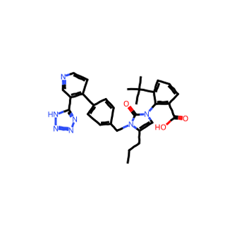 CCCc1cn(-c2c(C(=O)O)cccc2C(C)(C)C)c(=O)n1Cc1ccc(-c2ccncc2-c2nnn[nH]2)cc1